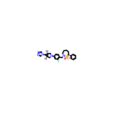 O=S1(=O)[C@H](c2ccccc2)CCCCN1Cc1ccc(N2C[C@@H]3C(n4cnnc4)[C@@H]3C2)cc1F